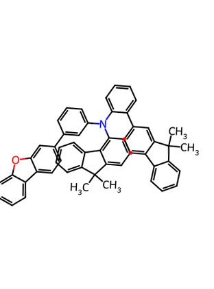 CC1(C)c2ccccc2-c2ccc(-c3ccccc3N(c3cccc(-c4ccc5c(c4)oc4ccccc45)c3)c3cccc4c3-c3ccccc3C4(C)C)cc21